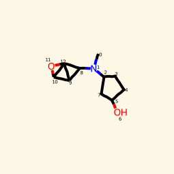 CN(C1CCC(O)C1)C1C2C3OC321